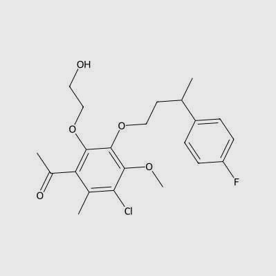 COc1c(Cl)c(C)c(C(C)=O)c(OCCO)c1OCCC(C)c1ccc(F)cc1